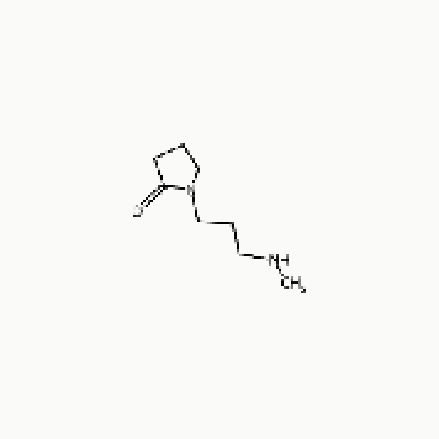 CNCCCN1CCCC1=O